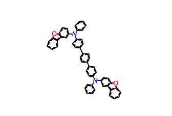 c1ccc(N(c2ccc(-c3ccc(-c4ccc(N(c5ccccc5)c5ccc6oc7ccccc7c6c5)cc4)cc3)cc2)c2ccc3oc4ccccc4c3c2)cc1